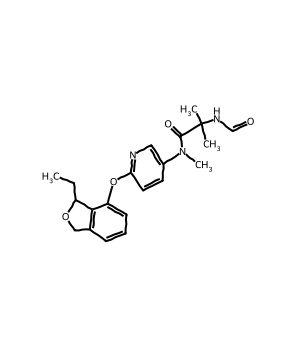 CCC1OCc2cccc(Oc3ccc(N(C)C(=O)C(C)(C)NC=O)cn3)c21